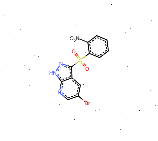 O=[N+]([O-])c1ccccc1S(=O)(=O)c1n[nH]c2ncc(Br)cc12